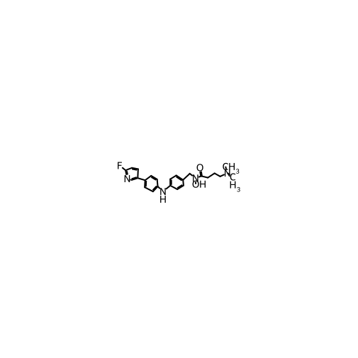 CN(C)CCCC(=O)N(O)Cc1ccc(Nc2ccc(-c3ccc(F)nc3)cc2)cc1